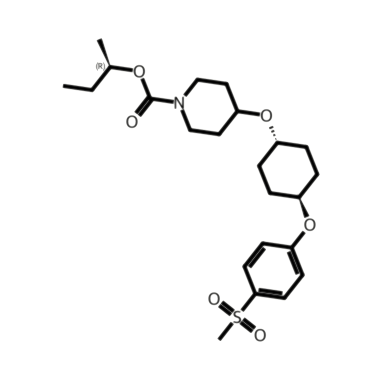 CC[C@@H](C)OC(=O)N1CCC(O[C@H]2CC[C@H](Oc3ccc(S(C)(=O)=O)cc3)CC2)CC1